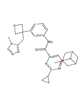 CN1CC2CC(C1)N2c1cc(C(=O)Nc2cccc(C3(Cc4nncn4C)COC3)c2)nc(C2CC2)n1